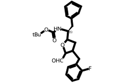 CC(C)(C)OC(=O)N[C@@H](Cc1ccccc1)C1CC(Cc2ccccc2F)C(C=O)O1